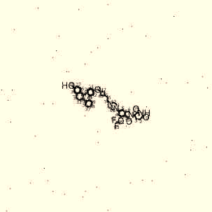 O=C1CCC(N2Cc3cc(N4CCN(CCC5CC(Oc6ccc([C@@H]7c8ccc(O)cc8CC[C@@H]7c7ccccc7)cc6)C5)CC4)cc(OC(F)F)c3C2=O)C(=O)N1